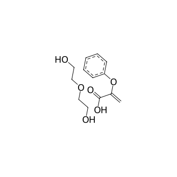 C=C(Oc1ccccc1)C(=O)O.OCCOCCO